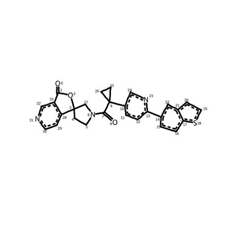 O=C1OC2(CCN(C(=O)C3(c4ccc(-c5ccc6sccc6c5)nc4)CC3)C2)c2ccncc21